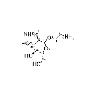 CC(=O)N[C@H]1[C@@H](OCCN)O[C@H](CO)[C@@H](O)[C@@H]1O